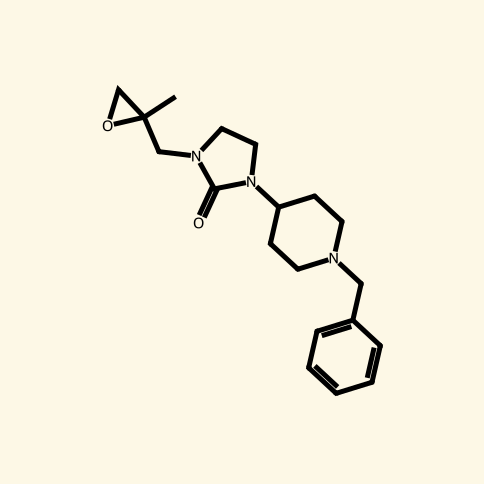 CC1(CN2CCN(C3CCN(Cc4ccccc4)CC3)C2=O)CO1